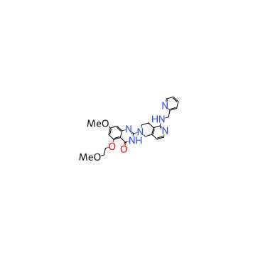 COCCOc1cc(OC)cc2nc(N3CCc4c(ccnc4NCc4ccccn4)C3)[nH]c(=O)c12